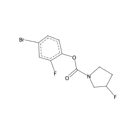 O=C(Oc1ccc(Br)cc1F)N1CCC(F)C1